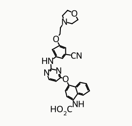 N#Cc1cc(Nc2nccc(Oc3ccc(NC(=O)O)c4ccccc34)n2)cc(OCCN2CCOCC2)c1